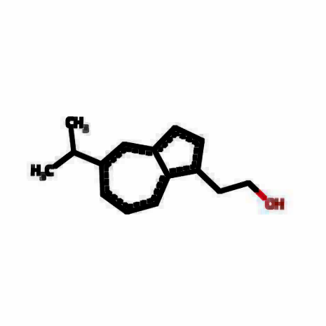 CC(C)c1cccc2c(CCO)ccc-2c1